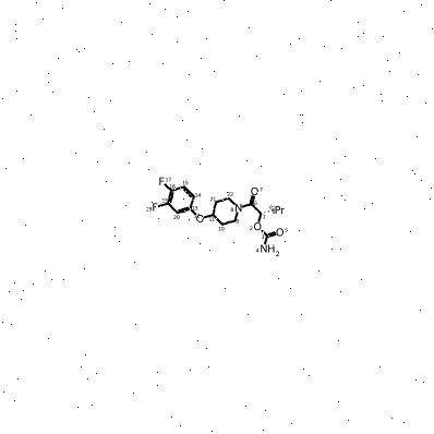 CC(C)[C@H](OC(N)=O)C(=O)N1CCC(Oc2ccc(F)c(F)c2)CC1